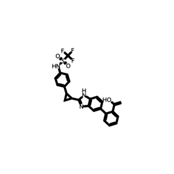 C=C(O)c1ccccc1-c1ccc2[nH]c(C3CC3c3ccc(NS(=O)(=O)C(F)(F)F)cc3)nc2c1